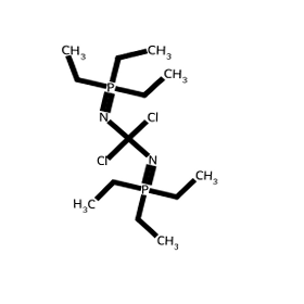 CCP(CC)(CC)=NC(Cl)(Cl)N=P(CC)(CC)CC